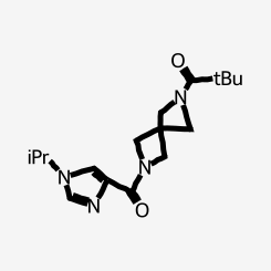 CC(C)n1cnc(C(=O)N2CC3(C2)CN(C(=O)C(C)(C)C)C3)c1